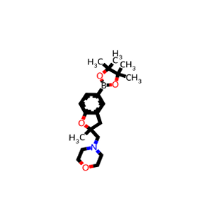 CC1(CN2CCOCC2)Cc2cc(B3OC(C)(C)C(C)(C)O3)ccc2O1